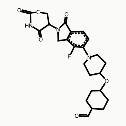 O=CC1CCC(OC2CCN(c3ccc4c(c3F)CN(C3CCC(=O)NC3=O)C4=O)CC2)CC1